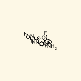 NC1=NC2(c3cc(NC(=O)c4cnc(OCF)cn4)ccc3F)COC(CF)C2CO1